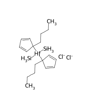 CCCC[C]1([Hf]([SiH3])([SiH3])[C]2(CCCC)C=CC=C2)C=CC=C1.[Cl-].[Cl-]